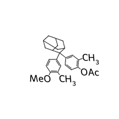 COc1ccc(C2(c3ccc(OC(C)=O)c(C)c3)C3CC4CC(C3)CC2C4)cc1C